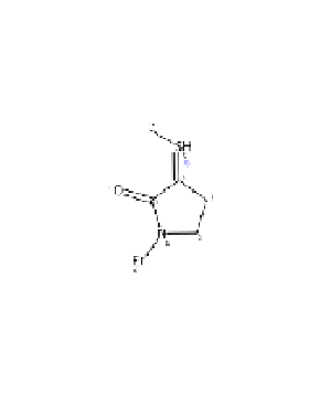 CCN1CC/C(=[SH]/C)C1=O